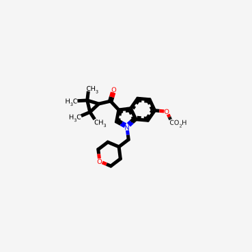 CC1(C)C(C(=O)c2cn(CC3CCOCC3)c3cc(OC(=O)O)ccc23)C1(C)C